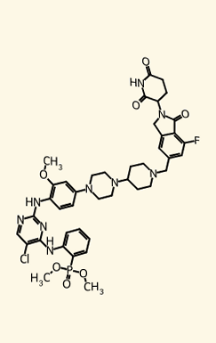 COc1cc(N2CCN(C3CCN(Cc4cc(F)c5c(c4)CN(C4CCC(=O)NC4=O)C5=O)CC3)CC2)ccc1Nc1ncc(Cl)c(Nc2ccccc2P(=O)(OC)OC)n1